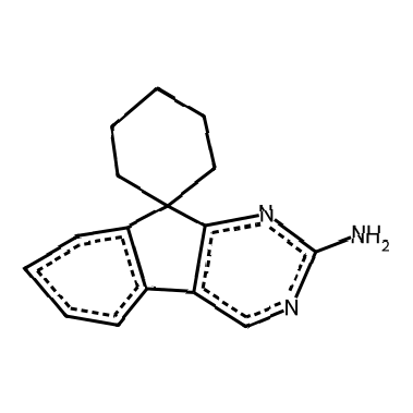 Nc1ncc2c(n1)C1(CCCCC1)c1ccccc1-2